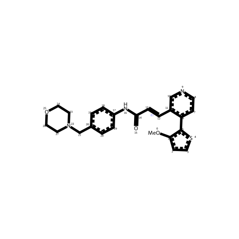 COc1ccsc1-c1ccncc1/C=C/C(=O)Nc1ccc(CN2CCOCC2)cc1